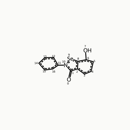 O=c1c2cccc(O)c2[se]n1-c1ccccc1